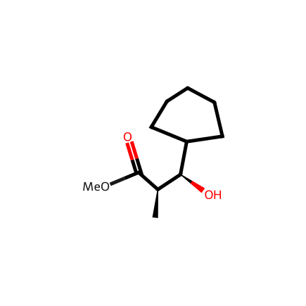 COC(=O)[C@H](C)[C@H](O)C1CCCCC1